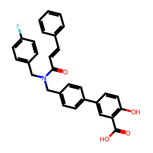 O=C(O)c1cc(-c2ccc(CN(Cc3ccc(F)cc3)C(=O)/C=C/c3ccccc3)cc2)ccc1O